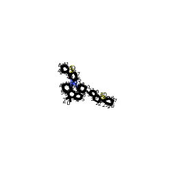 CC1(C)c2ccccc2-c2c(N(c3ccc(-c4ccc5c(ccc6c7ccccc7sc56)c4)cc3)c3ccc4sc5ccccc5c4c3)cccc21